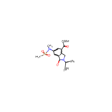 CCCC(CCC)N1Cc2c(C(=O)OC)cc(N(C)S(C)(=O)=O)cc2C1=O